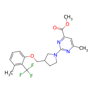 COC(=O)c1cc(C)nc(N2CCC(COc3cccc(C)c3C(F)(F)F)C2)n1